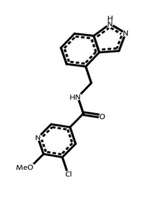 COc1ncc(C(=O)NCc2cccc3[nH]ncc23)cc1Cl